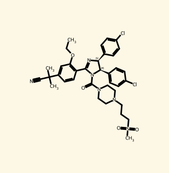 CCOc1cc(C(C)(C)C#N)ccc1C1=N[C@@H](c2ccc(Cl)cc2)[C@@H](c2ccc(Cl)cc2)N1C(=O)N1CCN(CCCS(C)(=O)=O)CC1